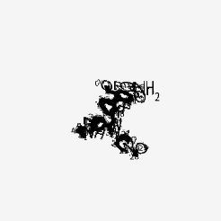 COCc1c(F)c(S(N)(=O)=O)cc(F)c1-c1cccc(-c2nn(C3CCN(C(C)=O)CC3)cc2-c2ccnc(NC(C)(C)C)c2)c1F